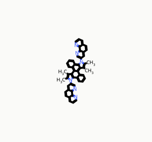 Cc1c(C)n(-c2cnc3c(ccc4cccnc43)c2)c2c3ccccc3c3c4c(C)c(C)n(-c5cnc6c(ccc7cccnc76)c5)c4c4ccccc4c3c12